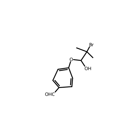 CC(C)(Br)C(O)Oc1ccc(C=O)cc1